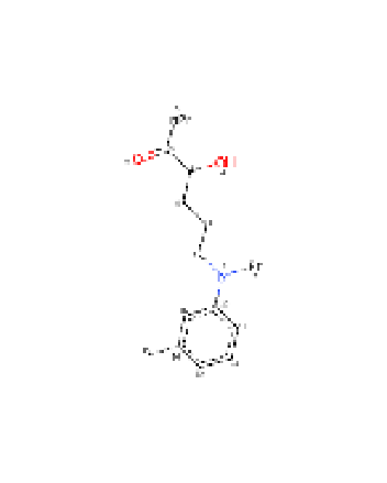 CCCC(=O)C(O)CCCN(CC)c1cccc(C)c1